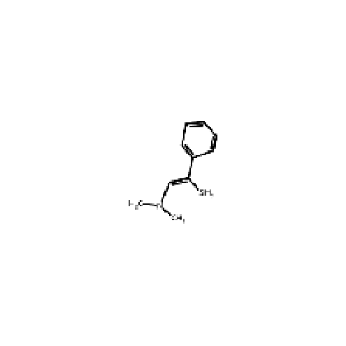 CN(C)C=C([SiH3])c1ccccc1